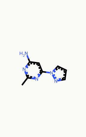 Cc1nc(N)cc(-n2cccn2)n1